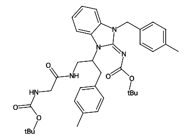 Cc1ccc(CC(CNC(=O)CNC(=O)OC(C)(C)C)n2c(=NC(=O)OC(C)(C)C)n(Cc3ccc(C)cc3)c3ccccc32)cc1